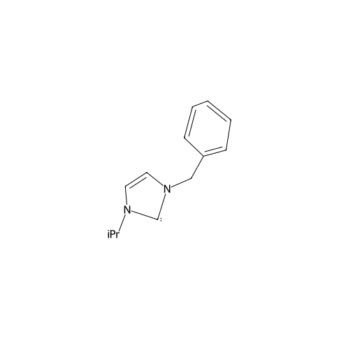 CC(C)N1[C]N(Cc2ccccc2)C=C1